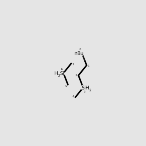 CCCCCC[SiH2]C.C[SiH2]C